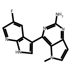 Cn1ccc2nc(N)nc(-c3c[nH]c4ncc(F)cc34)c21